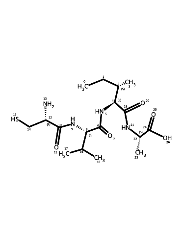 CC[C@H](C)[C@H](NC(=O)[C@@H](NC(=O)[C@@H](N)CS)C(C)C)C(=O)N[C@@H](C)C(=O)O